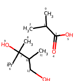 CC(C)C(=O)O.CC(C)C(C)(O)C(C)CO